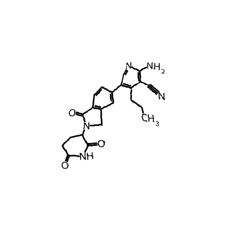 CCCc1c(-c2ccc3c(c2)CN(C2CCC(=O)NC2=O)C3=O)cnc(N)c1C#N